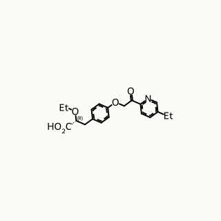 CCO[C@H](Cc1ccc(OCC(=O)c2ccc(CC)cn2)cc1)C(=O)O